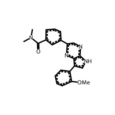 COc1ccccc1-c1c[nH]c2ncc(-c3cccc(C(=O)N(C)C)c3)nc12